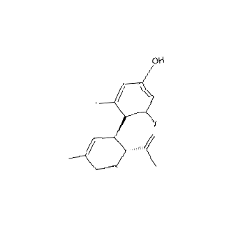 C=C(C)[C@@H]1CCC(C)=C[C@H]1C1C(C)=CC(O)=CC1I